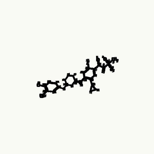 CS(=O)(=O)NC(=O)c1cc(C2CC2)c(O[C@@H]2CCCN(Cc3ccc(Cl)c(Cl)c3)C2)cc1F